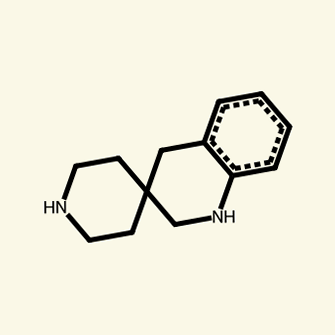 c1ccc2c(c1)CC1(CCNCC1)CN2